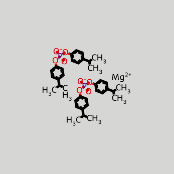 CC(C)c1ccc(OP(=O)([O-])Oc2ccc(C(C)C)cc2)cc1.CC(C)c1ccc(OP(=O)([O-])Oc2ccc(C(C)C)cc2)cc1.[Mg+2]